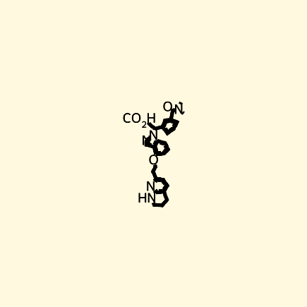 CN(C)C(=O)c1cccc(C(CC(=O)O)n2ncc3c(OCCc4ccc5c(n4)NCCC5)cccc32)c1